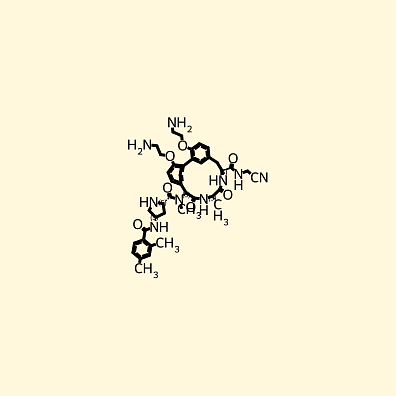 Cc1ccc(C(=O)N[C@@H]2CN[C@H](C(=O)N(C)[C@@H]3C(=O)N[C@@H](C)C(=O)N[C@H](C(=O)NCC#N)Cc4ccc(OCCN)c(c4)-c4cc3ccc4OCCN)C2)c(C)c1